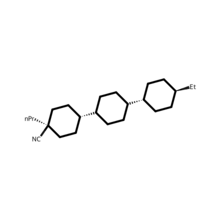 CCC[C@]1(C#N)CC[C@H](C2CCC([C@H]3CC[C@H](CC)CC3)CC2)CC1